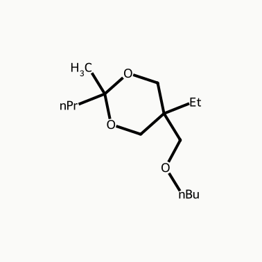 CCCCOCC1(CC)COC(C)(CCC)OC1